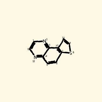 c1cnc2c(ccc3sccc32)n1